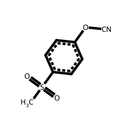 CS(=O)(=O)c1ccc(OC#N)cc1